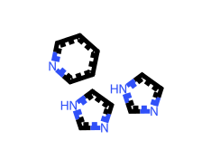 c1c[nH]cn1.c1c[nH]cn1.c1ccncc1